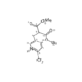 COC(=O)C(Cc1ccc(C(F)(F)F)nc1)C(=O)OC(C)(C)C